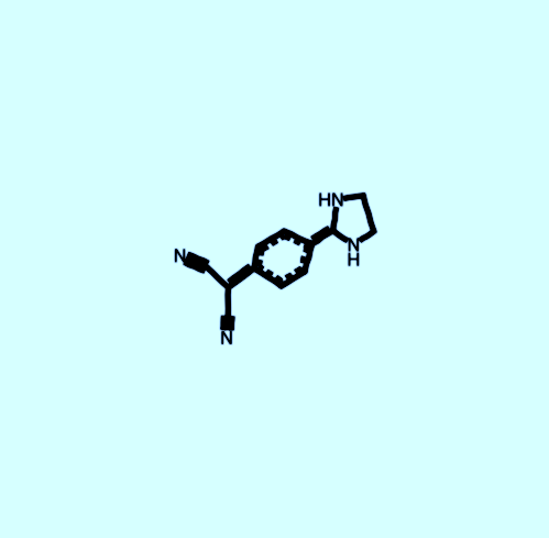 N#CC(C#N)=c1ccc(=C2NCCN2)cc1